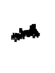 N=C(N)NCCCN[C@@H](CCF)c1ccc(-n2cc3cc(-c4cc(CCC[C@@H](N)CF)cc(Cl)c4F)[nH]c3nc2=O)cc1